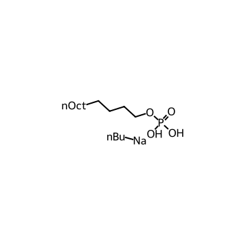 CCCCCCCCCCCCOP(=O)(O)O.CCC[CH2][Na]